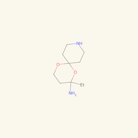 CCC1(N)CCOC2(CCNCC2)O1